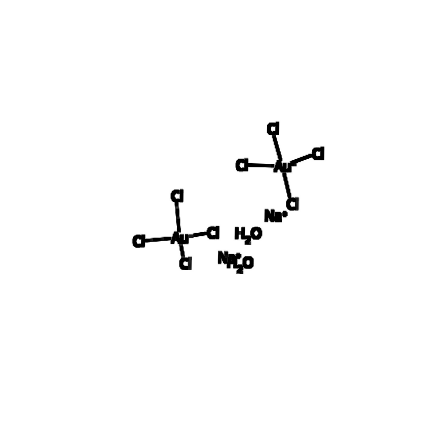 O.O.[Cl][Au-]([Cl])([Cl])[Cl].[Cl][Au-]([Cl])([Cl])[Cl].[Na+].[Na+]